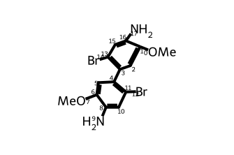 COc1cc(-c2cc(OC)c(N)cc2Br)c(Br)cc1N